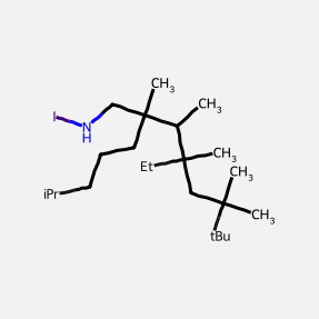 CCC(C)(CC(C)(C)C(C)(C)C)C(C)C(C)(CCCC(C)C)CNI